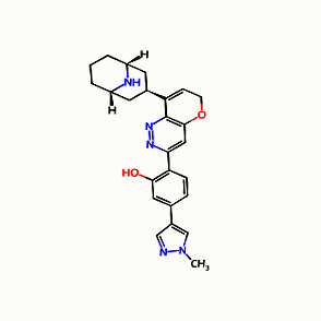 Cn1cc(-c2ccc(-c3cc4c(nn3)C([C@@H]3C[C@H]5CCC[C@@H](C3)N5)=CCO4)c(O)c2)cn1